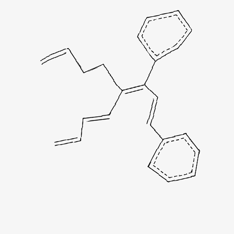 C=CC=CC(CCC=C)=C(C=Cc1ccccc1)c1ccccc1